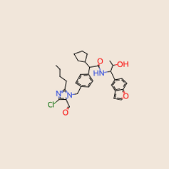 CCCCc1nc(Cl)c(C=O)n1Cc1ccc(C(C(=O)NC(c2ccc3occc3c2)C(C)O)C2CCCC2)cc1